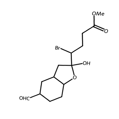 COC(=O)CCC(Br)C1(O)CC2CC(C=O)CCC2O1